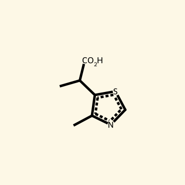 Cc1ncsc1C(C)C(=O)O